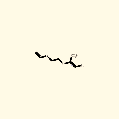 C=COCCO/C(=C/CC)C(=O)O